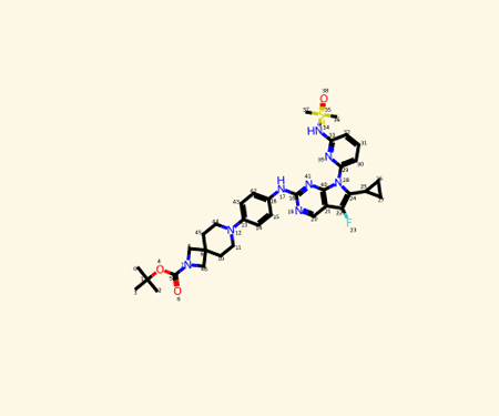 CC(C)(C)OC(=O)N1CC2(CCN(c3ccc(Nc4ncc5c(F)c(C6CC6)n(-c6cccc(N[SH](C)(C)=O)n6)c5n4)cc3)CC2)C1